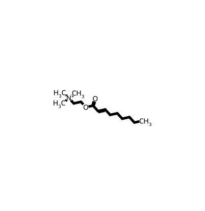 CCCCCCC=CC(=O)OCC[N+](C)(C)C